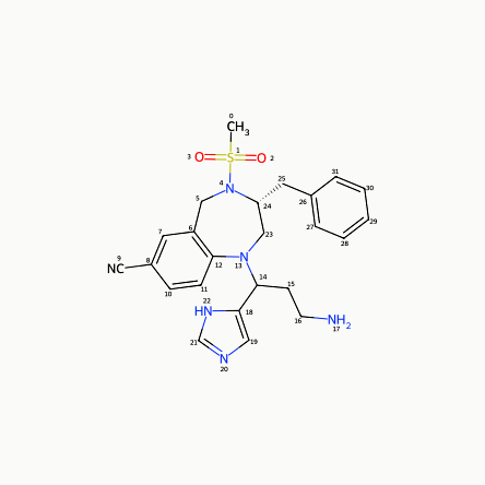 CS(=O)(=O)N1Cc2cc(C#N)ccc2N(C(CCN)c2cnc[nH]2)C[C@H]1Cc1ccccc1